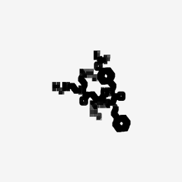 NCCN(CCN)C(=O)C[C@H](N)C(=O)N[C@@H](CCc1ccccc1)C(=O)NCc1ccc(OC(F)F)cc1